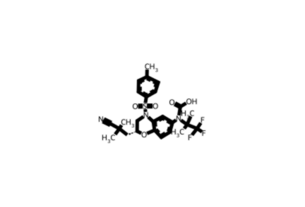 Cc1ccc(S(=O)(=O)N2C[C@@H](CC(C)(C)C#N)Oc3ccc(N(C(=O)O)C(C)(C)C(F)(F)F)cc32)cc1